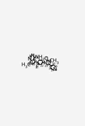 CN1C(=O)N(c2ccc(-c3cn(C)c4ncnc(N)c34)c(F)c2)CC1c1ccncc1